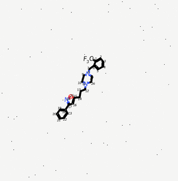 FC(F)(F)c1ccccc1CN1CCN(CCCc2cc(-c3ccccc3)no2)CC1